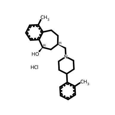 Cc1ccccc1C1CCN(C[C@@H]2CCc3c(C)cccc3[C@H](O)C2)CC1.Cl